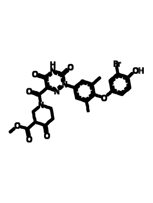 COC(=O)C1CN(C(=O)c2nn(-c3cc(C)c(Oc4ccc(O)c(Br)c4)c(C)c3)c(=O)[nH]c2=O)CCC1=O